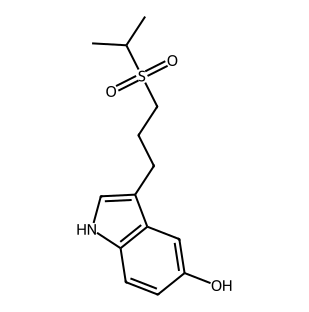 CC(C)S(=O)(=O)CCCc1c[nH]c2ccc(O)cc12